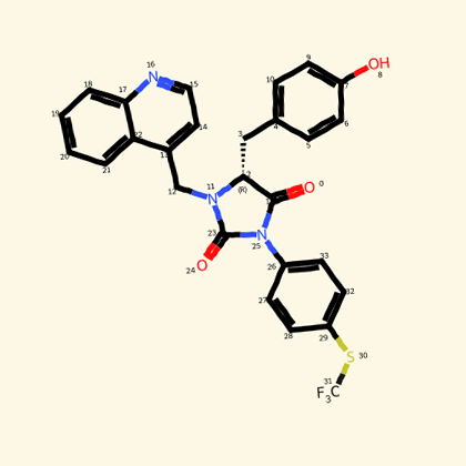 O=C1[C@@H](Cc2ccc(O)cc2)N(Cc2ccnc3ccccc23)C(=O)N1c1ccc(SC(F)(F)F)cc1